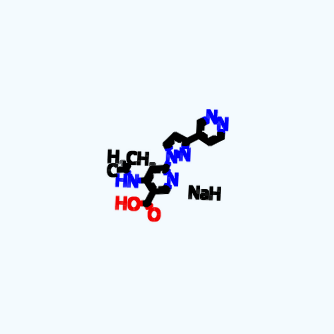 CC(C)Nc1cc(-n2ccc(-c3ccnnc3)n2)ncc1C(=O)O.[NaH]